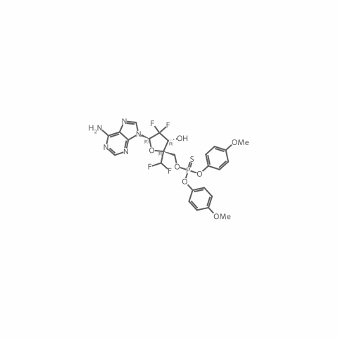 COc1ccc(OP(=S)(OC[C@@]2(C(F)F)O[C@@H](n3cnc4c(N)ncnc43)C(F)(F)[C@@H]2O)Oc2ccc(OC)cc2)cc1